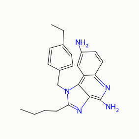 CCCCc1nc2c(N)nc3ccc(N)cc3c2n1Cc1ccc(CC)cc1